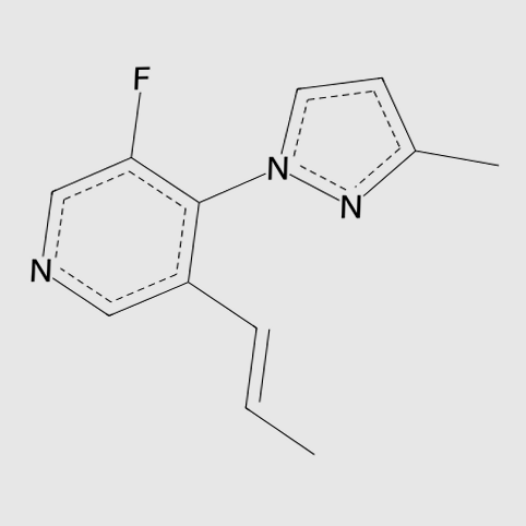 C/C=C/c1cncc(F)c1-n1ccc(C)n1